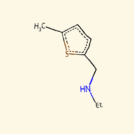 CCNCc1ccc(C)s1